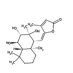 CC1=CC(=O)O/C1=C/[C@H]1[C@](C)(O)[C@@H](O)[C@H](O)[C@H]2C(C)(C)CCC[C@@]21C